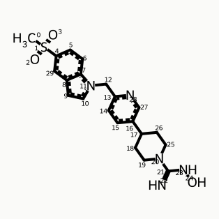 CS(=O)(=O)c1ccc2c(ccn2Cc2ccc(C3CCN(C(=N)NO)CC3)cn2)c1